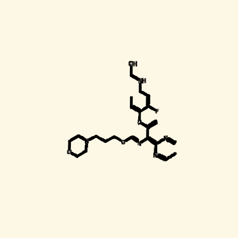 C=NC(/N=C\C)=C(/N=C/OCCCN1CCOCC1)C(=C)OC(=C/C)/C(F)=C\CNCO